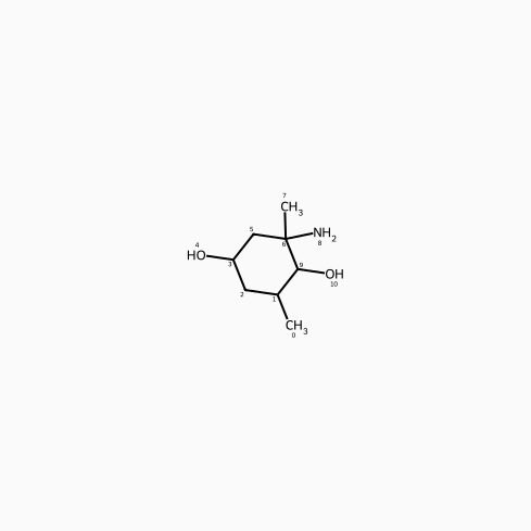 CC1CC(O)CC(C)(N)C1O